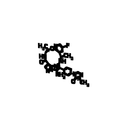 C[C@H]1CNC(=O)c2cnn3c(N)c(-c4ccc(-n5cnn(C)c5=O)cc4)c(nc23)N[C@H](C)c2cc(F)cnc2O1